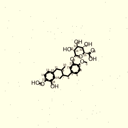 COc1ccc(CC(C)C(C)Cc2ccc(OO)c(O)c2)cc1O[C@@H]1O[C@H](C(=O)O)[C@@H](O)[C@H](O)[C@H]1O